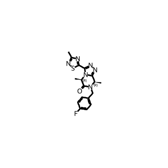 Cc1nsc(-c2nnc3n2[C@H](C)C(=O)N(Cc2ccc(F)cc2)[C@@H]3C)n1